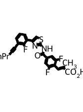 CCCC#Cc1cccc(-c2csc(NC(=O)c3cc(F)c(/C=C(\C)C(=O)O)c(F)c3)n2)c1F